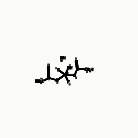 O=C(O)C(=O)OP(O)(F)(F)OC(=O)C(=O)O.[LiH]